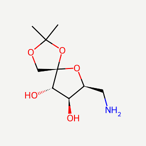 CC1(C)OC[C@]2(O[C@@H](CN)[C@@H](O)[C@@H]2O)O1